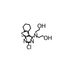 OCCN(CCO)c1nc(Cl)nc2sc3c(c12)CCCC3